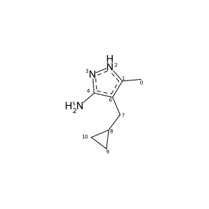 Cc1[nH]nc(N)c1CC1CC1